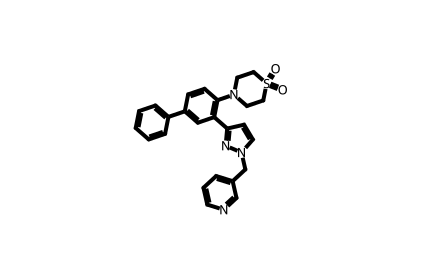 O=S1(=O)CCN(c2ccc(-c3ccccc3)cc2-c2ccn(Cc3cccnc3)n2)CC1